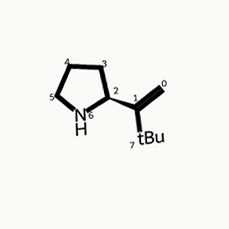 C=C([C@@H]1CCCN1)C(C)(C)C